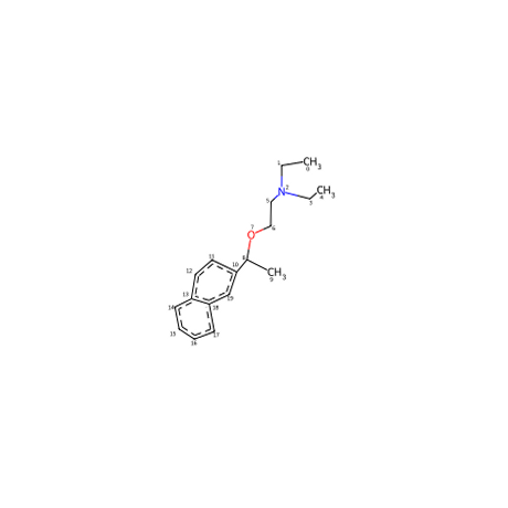 CCN(CC)CCOC(C)c1ccc2ccccc2c1